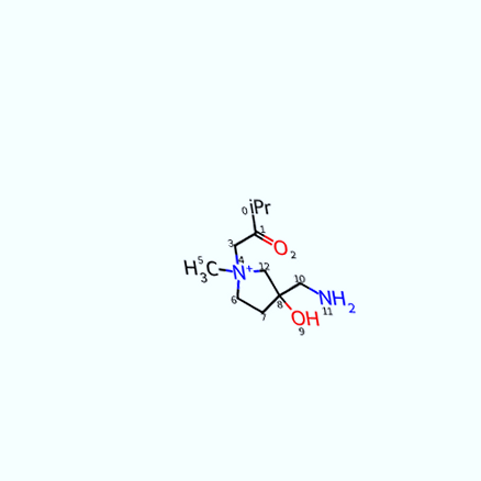 CC(C)C(=O)C[N+]1(C)CCC(O)(CN)C1